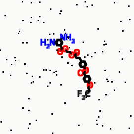 Nc1cc(N)cc(C(=O)OCCOC(=O)C=Cc2ccc(OC(=O)c3ccc(OCCC(F)(F)F)cc3)cc2)c1